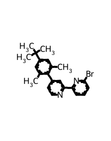 Cc1cc(C(C)(C)C)cc(C)c1-c1ccnc(-c2cccc(Br)n2)c1